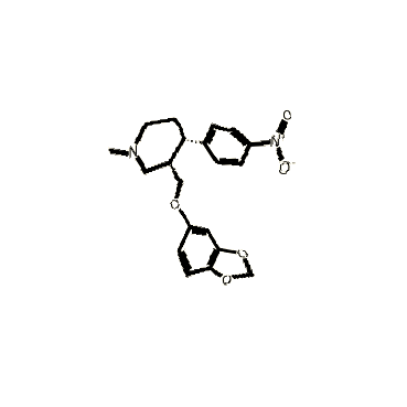 CN1CC[C@H](c2ccc([N+](=O)[O-])cc2)[C@@H](COc2ccc3c(c2)OCO3)C1